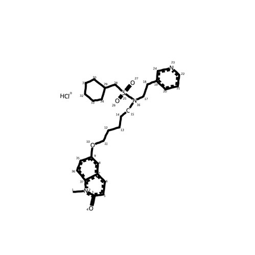 Cl.Cn1c(=O)ccc2cc(OCCCCCN(CCc3cccnc3)S(=O)(=O)CC3CCCCC3)ccc21